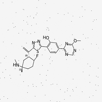 C=C(c1nnc(-c2ccc(-c3ncnc(OC)n3)cc2O)s1)[C@H]1C[C@@](C)(NC)CCC1F